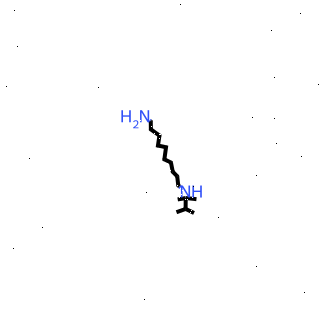 CC(C)C(C)(C)NCCCCCCCCCCN